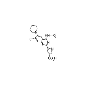 O=C(O)c1cnn(-c2nc(NC3CC3)c3cc(N4CCCCC4)c(Cl)cc3n2)c1